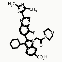 Cc1nc(C)c(-c2ccc3c(F)c(-c4c(C5CCCCC5)c5ccc(C(=O)O)cc5n4CC(=O)N4CCOCC4)ccc3n2)s1